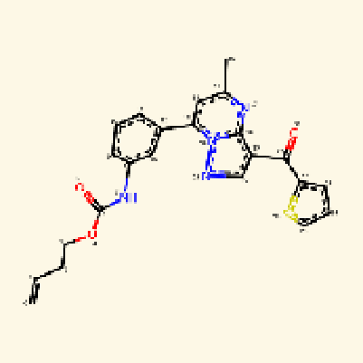 C=CCCOC(=O)Nc1cccc(-c2cc(C)nc3c(C(=O)c4cccs4)cnn23)c1